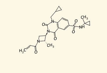 C=CC(=O)N1C[C@@H](n2c(=O)c3cc(S(=O)(=O)NC4(C)CC4)ccc3n(CC3CC3)c2=O)[C@@H]1C